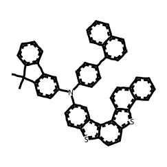 CC1(C)c2ccccc2-c2cc(N(c3ccc(-c4cccc5ccccc45)cc3)c3ccc4sc5ccc6sc7c8ccccc8ccc7c6c5c4c3)ccc21